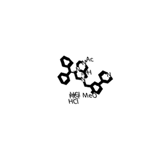 COc1ccc(-c2ccncc2)cc1CN1C[C@@H]2CN(C(C)=O)CCN2[C@H](C(c2ccccc2)c2ccccc2)C1.Cl.Cl.Cl